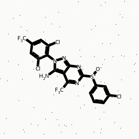 Nc1c2c(C(F)(F)F)nc([S+]([O-])c3cccc(Cl)c3)nc2nn1-c1c(Cl)cc(C(F)(F)F)cc1Cl